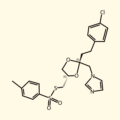 Cc1ccc(S(=O)(=O)SC[C@@H]2CO[C@](CCc3ccc(Cl)cc3)(Cn3ccnc3)O2)cc1